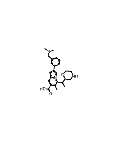 Cc1c(C(=O)O)cc2cc(-c3cccc(CN(C)C)c3)cn2c1C(C)C1CNCCO1